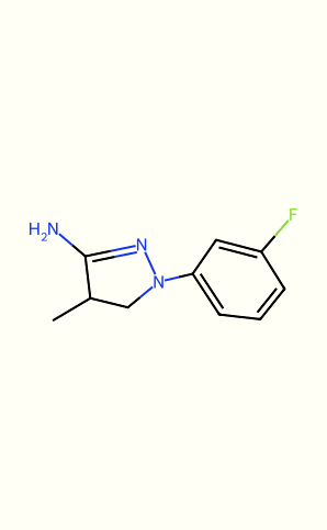 CC1CN(c2cccc(F)c2)N=C1N